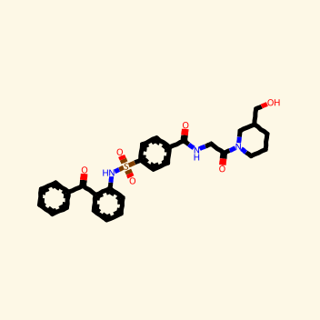 O=C(NCC(=O)N1CCCC(CO)C1)c1ccc(S(=O)(=O)Nc2ccccc2C(=O)c2ccccc2)cc1